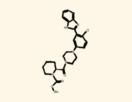 CC(C)(C)OC(=O)N1CCCC[C@H]1C(=O)N1CCN(c2ccc(Cl)c(-c3nc4ccccc4[nH]3)c2)CC1